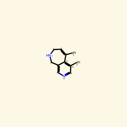 CC(C)C1=CCNCc2cncc(C(C)C)c21